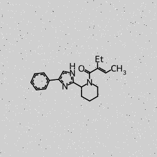 CC=C(CC)C(=O)N1CCCCC1c1nc(-c2ccccc2)c[nH]1